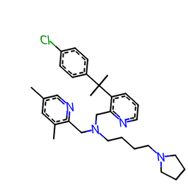 Cc1cnc(CN(CCCCN2CCCC2)Cc2ncccc2C(C)(C)c2ccc(Cl)cc2)c(C)c1